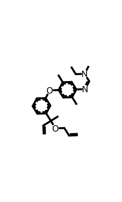 C=CCOC(C)(C=C)c1cccc(Oc2cc(C)c(/N=C\N(C)CC)cc2C)c1